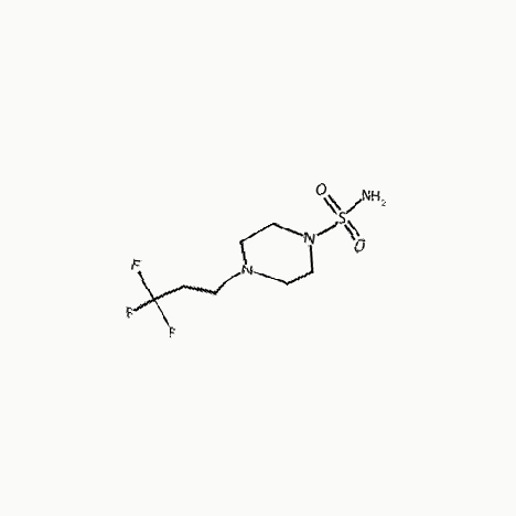 NS(=O)(=O)N1CCN(CCC(F)(F)F)CC1